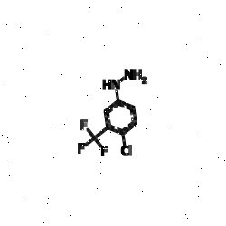 NNc1ccc(Cl)c(C(F)(F)F)c1